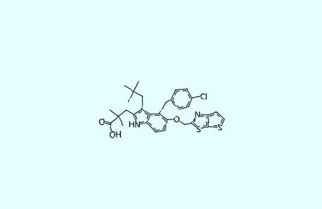 CC(C)(C)Cc1c(CC(C)(C)C(=O)O)[nH]c2ccc(OCc3nc4ccsc4s3)c(Cc3ccc(Cl)cc3)c12